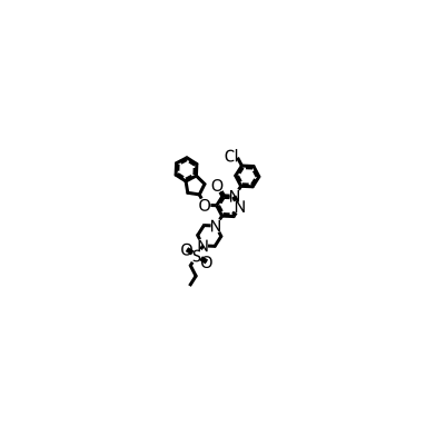 CCCS(=O)(=O)N1CCN(c2cnn(-c3cccc(Cl)c3)c(=O)c2OC2Cc3ccccc3C2)CC1